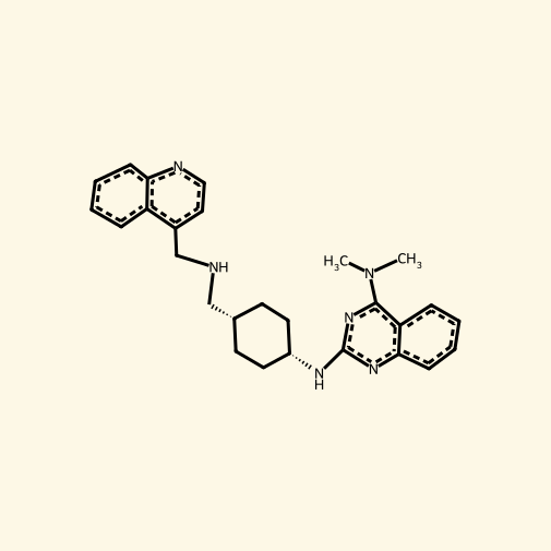 CN(C)c1nc(N[C@H]2CC[C@@H](CNCc3ccnc4ccccc34)CC2)nc2ccccc12